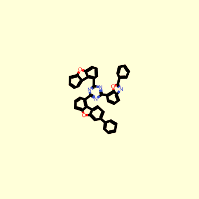 c1ccc(-c2ccc3c(c2)oc2cccc(-c4nc(-c5cccc6nc(-c7ccccc7)oc56)nc(-c5cccc6oc7ccccc7c56)n4)c23)cc1